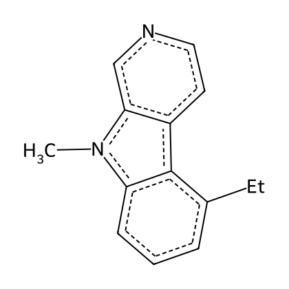 CCc1cccc2c1c1ccncc1n2C